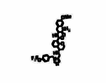 COc1ccc(CC(NC(=O)c2cccc3c2OCCC3NCc2cncn2Cc2ccc(OC(F)(F)F)cc2)C(N)=O)cc1